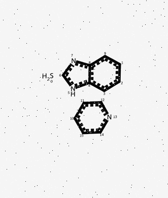 S.c1ccc2[nH]cnc2c1.c1ccncc1